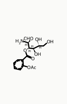 CC(=O)Oc1ccccc1C(=O)O[C@@H]([C@H](O)[C@H](O)CO)[C@@H](N)C=O